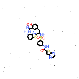 N/C(=N/O)c1cccc(CC(NS(=O)(=O)c2cccc(NC(=O)c3cc4nccnc4s3)c2)c2nc3ccccc3s2)c1